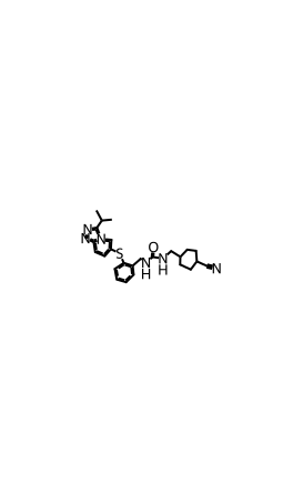 CC(C)c1nnc2ccc(Sc3ccccc3CNC(=O)NCC3CCC(C#N)CC3)cn12